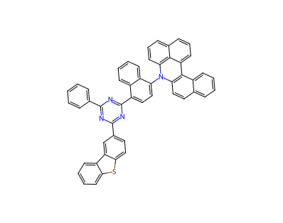 c1ccc(-c2nc(-c3ccc4sc5ccccc5c4c3)nc(-c3ccc(N4c5ccc6ccccc6c5-c5cccc6cccc4c56)c4ccccc34)n2)cc1